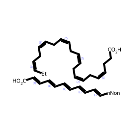 CC/C=C\C/C=C\C/C=C\C/C=C\C/C=C\C/C=C\CCC(=O)O.CCCCCCCCC/C=C/C=C/C=C/C=C/C=C/C(=O)O